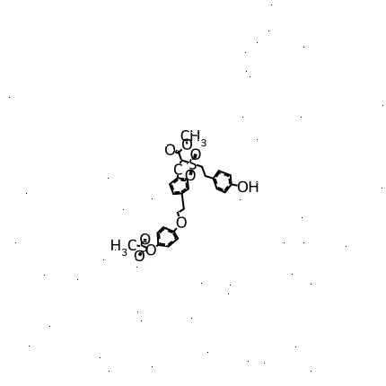 COC(=O)C(Cc1ccc(CCOc2ccc(OS(C)(=O)=O)cc2)cc1)S(=O)(=O)CCc1ccc(O)cc1